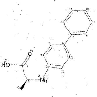 C[C@H](Nc1ccc(-c2ccccc2)cc1)C(=O)O